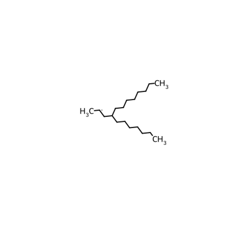 C[CH]CC(CCCCCCC)CCCCCCCC